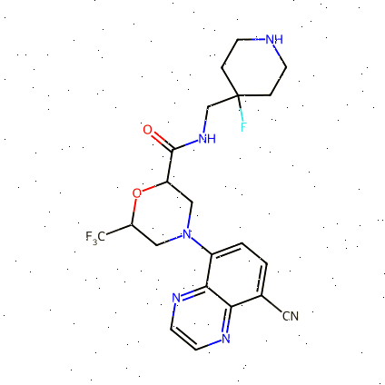 N#Cc1ccc(N2CC(C(=O)NCC3(F)CCNCC3)OC(C(F)(F)F)C2)c2nccnc12